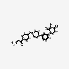 NCC(=O)N1CCC(CN2CCN(c3cccc(N4CCC(=O)NC4=O)c3)CC2)CC1